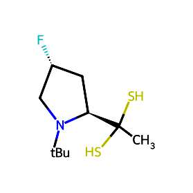 CC(S)(S)[C@@H]1C[C@@H](F)CN1C(C)(C)C